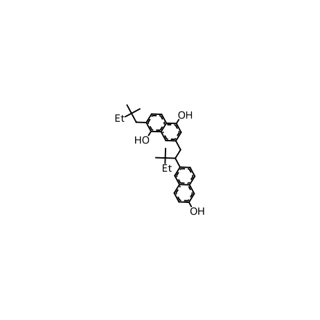 CCC(C)(C)Cc1ccc2c(O)cc(CC(c3ccc4cc(O)ccc4c3)C(C)(C)CC)cc2c1O